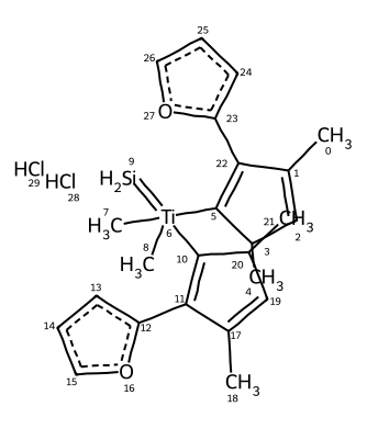 CC1=CC(C)[C]([Ti]([CH3])([CH3])(=[SiH2])[C]2=C(c3ccco3)C(C)=CC2C)=C1c1ccco1.Cl.Cl